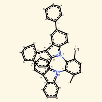 Cc1ccc(C#N)c(-n2c3ccc(-c4ccccc4)cc3c3c4ccccc4ccc32)c1-n1c2ccccc2c2ccccc21